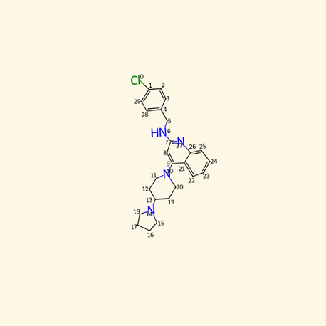 Clc1ccc(CNc2cc(N3CCC(N4CCCC4)CC3)c3ccccc3n2)cc1